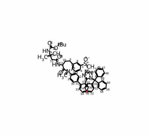 C[S+]([O-])c1ccc2c(c1)CCC(NC(=O)CC(C)(C)NC(=O)OC(C)(C)C)C(=O)[N+]2(C)c1ccc(-c2ccccc2-c2nnnn2C(c2ccccc2)(c2ccccc2)c2ccccc2)cc1